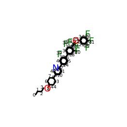 CCCCOC1CCC(c2ccc(-c3ccc(-c4cc(F)c(C(F)(F)Oc5cc(F)c(F)c(F)c5)c(F)c4)c(F)c3)nc2)CC1